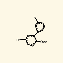 CC(=O)Oc1ccc(C(C)C)cc1-c1cccc(C)c1